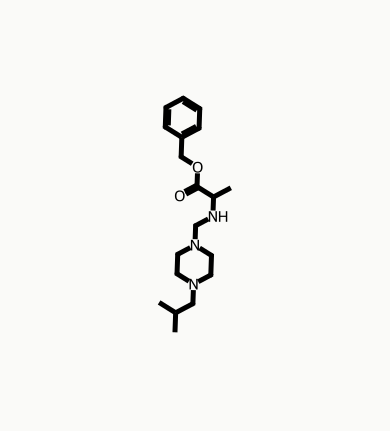 CC(C)CN1CCN(CNC(C)C(=O)OCc2ccccc2)CC1